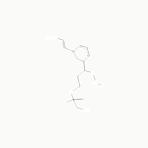 CCOC(=O)/C=C/c1cccc(C(CCOC(C)(C)CO)OPI)c1